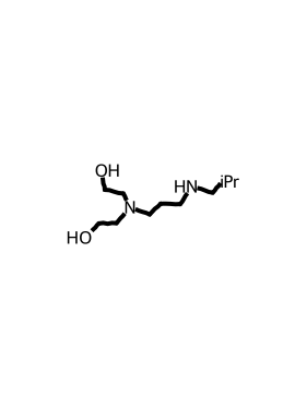 CC(C)CNCCCN(CCO)CCO